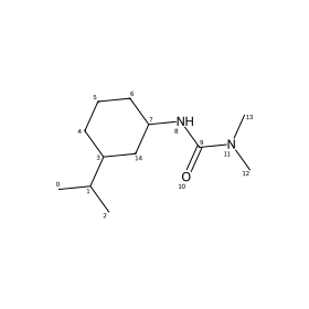 CC(C)C1CCCC(NC(=O)N(C)C)C1